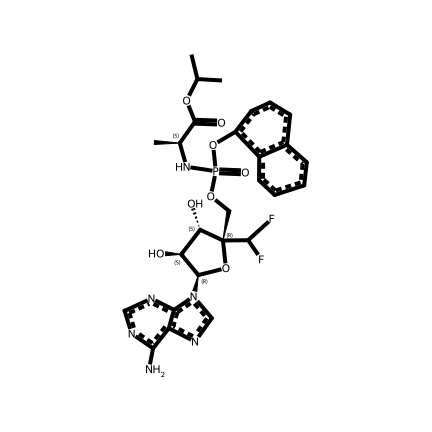 CC(C)OC(=O)[C@H](C)NP(=O)(OC[C@@]1(C(F)F)O[C@@H](n2cnc3c(N)ncnc32)[C@@H](O)[C@@H]1O)Oc1cccc2ccccc12